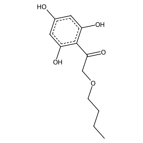 CCCCOCC(=O)c1c(O)cc(O)cc1O